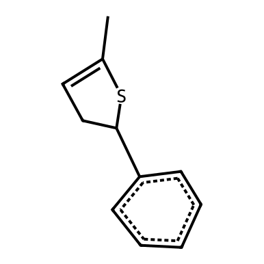 CC1=CCC(c2ccccc2)S1